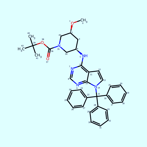 CO[C@H]1C[C@@H](Nc2ncnc3c2ccn3C(c2ccccc2)(c2ccccc2)c2ccccc2)CN(C(=O)OC(C)(C)C)C1